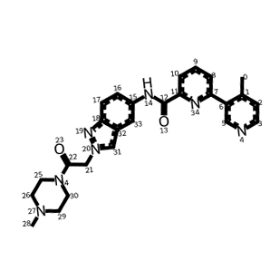 Cc1ccncc1-c1cccc(C(=O)Nc2ccc3nn(CC(=O)N4CCN(C)CC4)cc3c2)n1